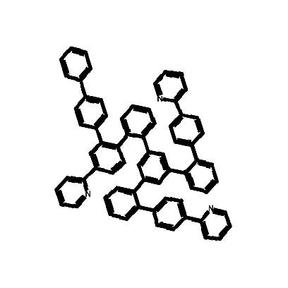 c1ccc(-c2ccc(-c3cc(-c4ccccn4)ccc3-c3ccccc3-c3cc(-c4ccccc4-c4ccc(-c5ccccn5)cc4)cc(-c4ccccc4-c4ccc(-c5ccccn5)cc4)c3)cc2)cc1